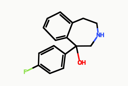 OC1(c2ccc(F)cc2)CNCCc2ccccc21